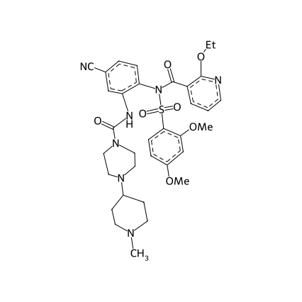 CCOc1ncccc1C(=O)N(c1ccc(C#N)cc1NC(=O)N1CCN(C2CCN(C)CC2)CC1)S(=O)(=O)c1ccc(OC)cc1OC